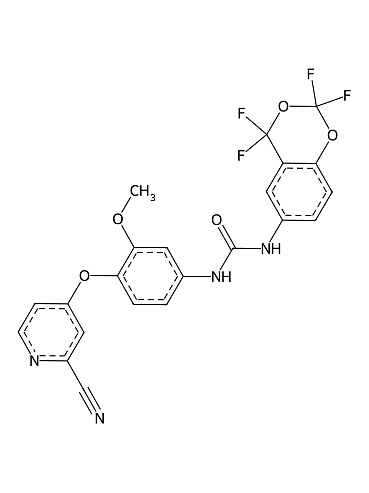 COc1cc(NC(=O)Nc2ccc3c(c2)C(F)(F)OC(F)(F)O3)ccc1Oc1ccnc(C#N)c1